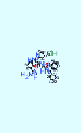 Cl.N=C(N)c1cccc(NC(C(=O)NCC(=O)NC(c2ccccc2)c2ccccc2)c2ccccn2)c1